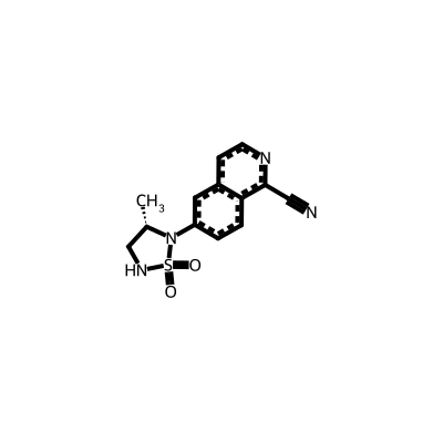 C[C@H]1CNS(=O)(=O)N1c1ccc2c(C#N)nccc2c1